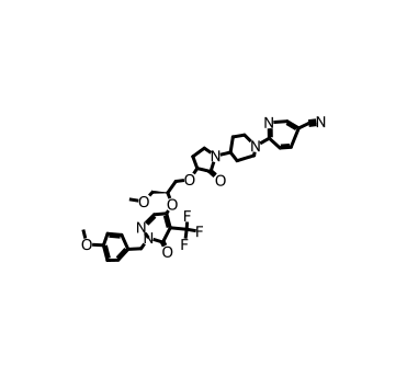 COC[C@@H](COC1CCN(C2CCN(c3ccc(C#N)cn3)CC2)C1=O)Oc1cnn(Cc2ccc(OC)cc2)c(=O)c1C(F)(F)F